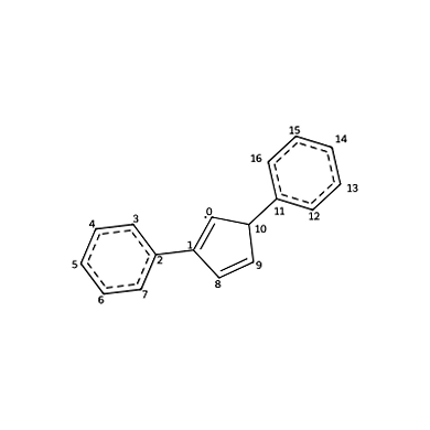 [C]1=C(c2ccccc2)C=CC1c1ccccc1